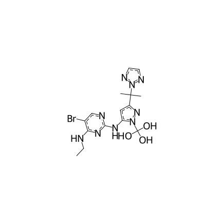 CCNc1nc(Nc2cc(C(C)(C)n3nccn3)nn2C(O)(O)O)ncc1Br